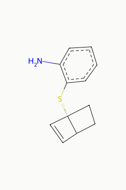 Nc1ccccc1S[C@@]12C=CC1CC2